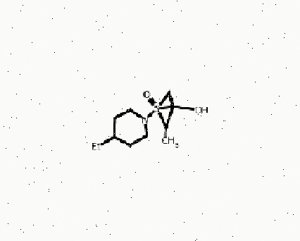 CCC1CCN(S23(=O)CC2(O)[C@@H]3C)CC1